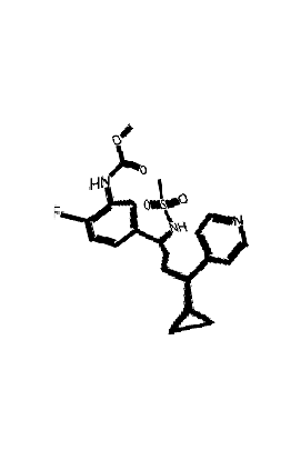 COC(=O)Nc1cc(C(CC(c2ccncc2)C2CC2)NS(C)(=O)=O)ccc1F